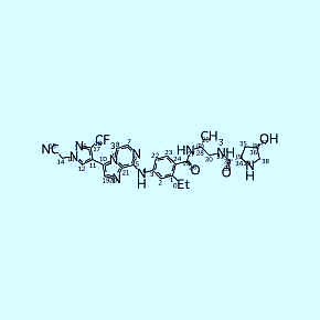 CCc1cc(Nc2nccn3c(-c4cn(CC#N)nc4C(F)(F)F)cnc23)ccc1C(=O)N[C@H](C)CNC(=O)[C@@H]1C[C@@H](O)CN1